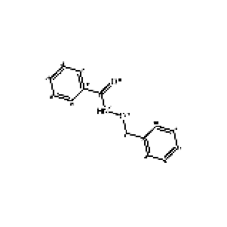 O=C(NOCc1ccccc1)c1c[c]ccc1